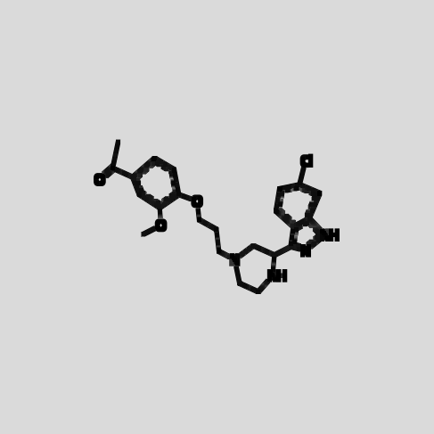 COc1cc(C(C)=O)ccc1OCCCN1CCNC(c2n[nH]c3cc(Cl)ccc23)C1